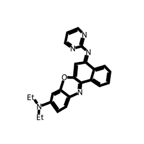 CCN(CC)c1ccc2nc3c4ccccc4/c(=N/c4ncccn4)cc-3oc2c1